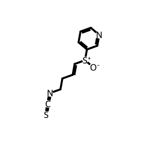 [O-][S+](/C=C/CCN=C=S)c1cccnc1